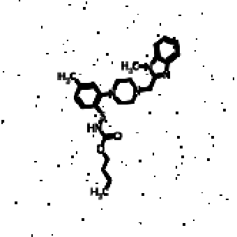 CCCCOC(=O)NSc1ccc(C)cc1N1CCN(Cc2nc3ccccc3n2C)CC1